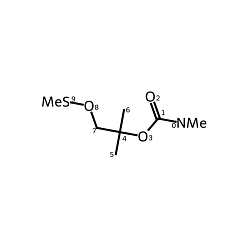 CNC(=O)OC(C)(C)COSC